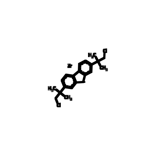 CC(C)(CCl)c1ccc2c(c1)[CH]c1cc(C(C)(C)CCl)ccc1-2.[Zr]